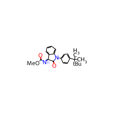 COC(=O)/N=C1/C(=O)N(c2ccc(C(C)(C)C(C)(C)C)cc2)c2ccccc21